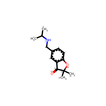 CC(C)NCc1ccc2c(c1)C(=O)C(C)(C)O2